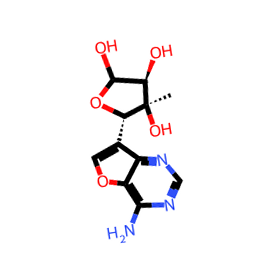 C[C@@]1(O)[C@H](O)C(O)O[C@H]1c1coc2c(N)ncnc12